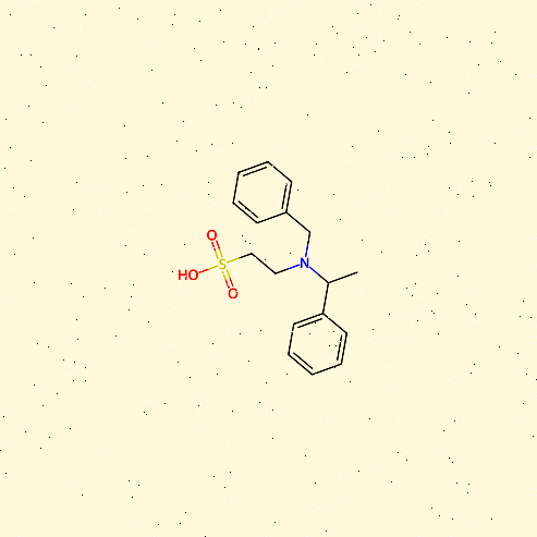 CC(c1ccccc1)N(CCS(=O)(=O)O)Cc1ccccc1